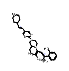 NC1=C(/C=C(\N)c2ccccc2O)N2CCN(c3ncc(/C=C/C4CCNCC4)cn3)CC2CN1